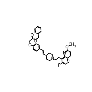 COc1ccc2ncc(F)c(CCN3CCC(C=Cc4ccc5c(c4)N(Cc4ccccc4)C(=O)CO5)CC3)c2n1